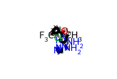 CC1C(N)=C(N(N)c2ccn[nH]2)CCN1C(=O)c1cccc(C(F)(F)F)c1Cl